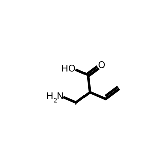 C=CC([CH]N)C(=O)O